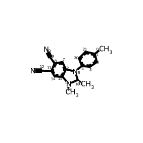 Cc1ccc(N2c3cc(C#N)c(C#N)cc3N(C)[C@@H]2C)cc1